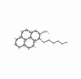 CCCCCCc1c(N)cc2ccc3cccc4ccc1c2c34